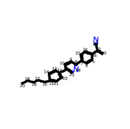 C=C(C#N)c1ccc(-c2ccc(-c3ccc(CCCCC)cc3)cn2)cc1